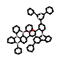 c1ccc(-c2ccc3c(c2)c2ccccc2n3-c2ccc(-c3cc(-c4ccccc4)nc(-c4ccccc4)n3)cc2-c2ccc(-c3ccc4c5c3N(c3ccccc3)c3ccccc3B5c3ccccc3N4c3ccccc3)cc2)cc1